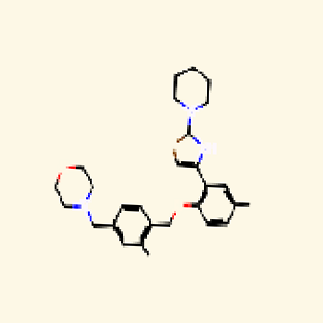 Cc1ccc(OCc2ccc(CN3CCOCC3)cc2C)c(C2=CSC(N3CCCCC3)N2)c1